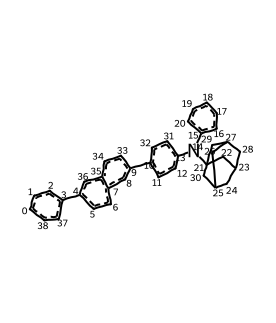 c1ccc(-c2ccc3cc(-c4ccc(N(c5ccccc5)C56CC7CC(CC(C7)C5)C6)cc4)ccc3c2)cc1